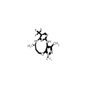 Cc1nn(C)c2c1Nc1ncc(C(F)(F)F)c(n1)N[C@H](C)CCO2